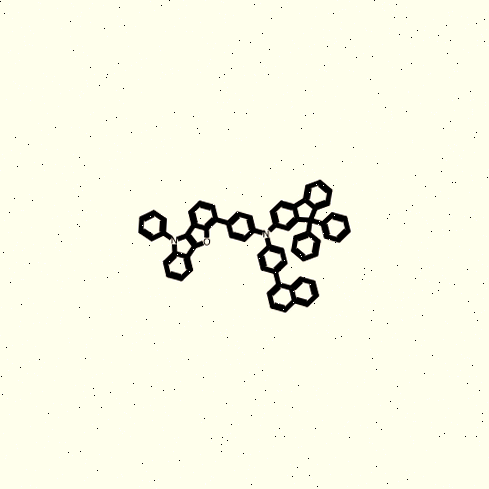 c1ccc(-n2c3ccccc3c3oc4c(-c5ccc(N(c6ccc(-c7cccc8ccccc78)cc6)c6ccc7c(c6)C(c6ccccc6)(c6ccccc6)c6ccccc6-7)cc5)cccc4c32)cc1